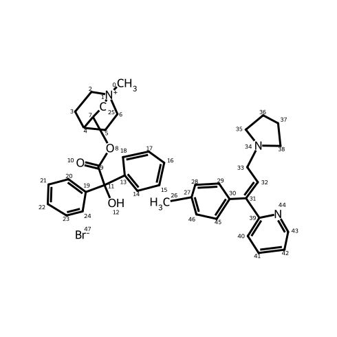 C[N+]12CCC(CC1)C(OC(=O)C(O)(c1ccccc1)c1ccccc1)C2.Cc1ccc(/C(=C\CN2CCCC2)c2ccccn2)cc1.[Br-]